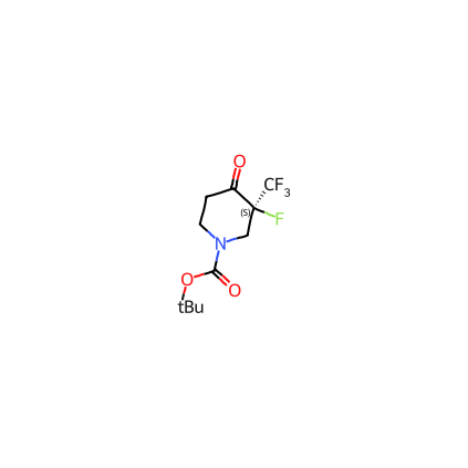 CC(C)(C)OC(=O)N1CCC(=O)[C@](F)(C(F)(F)F)C1